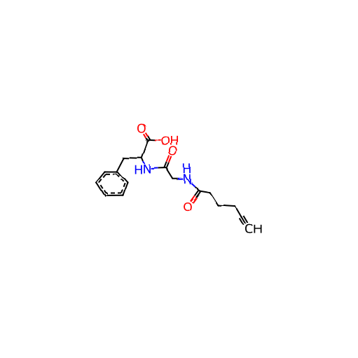 C#CCCCC(=O)NCC(=O)NC(Cc1ccccc1)C(=O)O